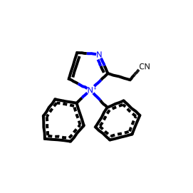 N#CCC1=NC=C[N+]1(c1ccccc1)c1ccccc1